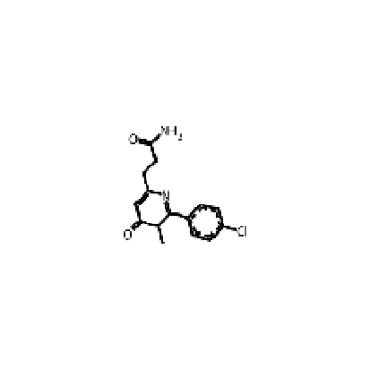 CC1C(=O)C=C(CCC(N)=O)N=C1c1ccc(Cl)cc1